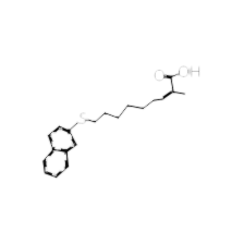 CC(=CCCCCCCSc1ccc2ccccc2c1)C(=O)O